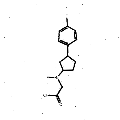 CN(CC(=O)Cl)C1CCC(c2ccc(F)cc2)C1